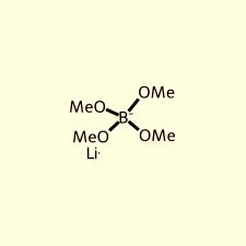 CO[B-](OC)(OC)OC.[Li]